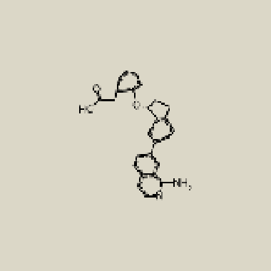 Nc1nccc2ccc(-c3ccc4c(c3)[C@H](Oc3ccccc3CC(=O)O)CC4)cc12